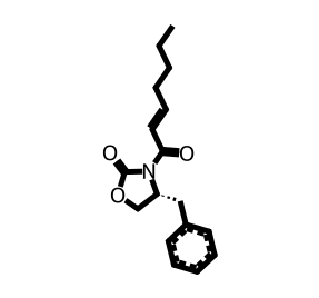 CCCCC=CC(=O)N1C(=O)OC[C@H]1Cc1ccccc1